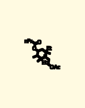 CCCC(=O)OC1CC(C)(CC)N(CCOC(C)=O)C(C)(CC)C1C